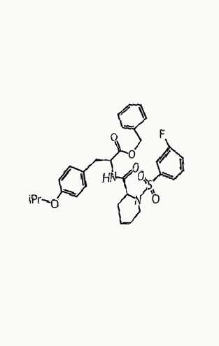 CC(C)Oc1ccc(C[C@H](NC(=O)[C@@H]2CCCCN2S(=O)(=O)c2cccc(F)c2)C(=O)OCc2ccccc2)cc1